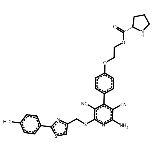 Cc1ccc(-c2nc(CSc3nc(N)c(C#N)c(-c4ccc(OCCOC(=O)[C@@H]5CCCN5)cc4)c3C#N)cs2)cc1